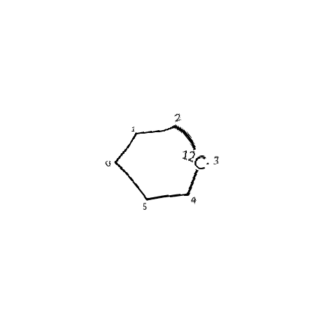 C1CC[12CH]CC1